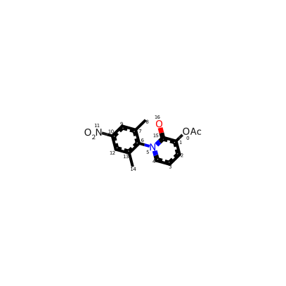 CC(=O)Oc1cccn(-c2c(C)cc([N+](=O)[O-])cc2C)c1=O